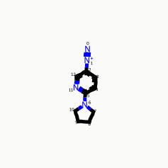 N#[N+]c1ccc(N2CCCC2)nc1